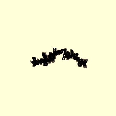 C=C(C)C(=O)OCCOC(=O)/C(C#N)=C/c1ccc(NCCOCC(C)Nc2ccc(/C=C(\C#N)C(=O)OCCOC(=O)C(=C)C)cc2)cc1